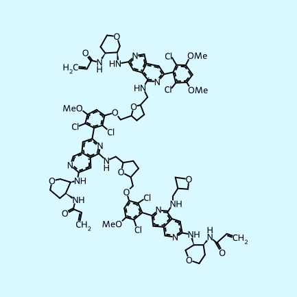 C=CC(=O)N[C@H]1CCOC[C@H]1Nc1cc2c(NCC3CCC(COc4cc(OC)c(Cl)c(-c5cc6cnc(N[C@@H]7COCC[C@@H]7NC(=O)C=C)cc6c(NCC6CCC(COc7cc(OC)c(Cl)c(-c8cc9cnc(N[C@@H]%10COCC[C@@H]%10NC(=O)C=C)cc9c(NCC9COC9)n8)c7Cl)O6)n5)c4Cl)O3)nc(-c3c(Cl)c(OC)cc(OC)c3Cl)cc2cn1